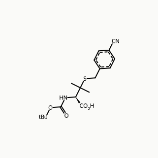 CC(C)(C)OC(=O)N[C@H](C(=O)O)C(C)(C)SCc1ccc(C#N)cc1